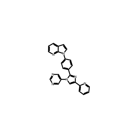 c1ccc(-c2cn(-c3cncnc3)c(-c3ccc(-n4ccc5cccnc54)cc3)n2)nc1